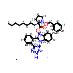 CCCCCCCC[C@@]1(C(=O)On2c(-c3ccccc3-c3nn[nH]n3)nc3ccccc32)CCCN1OCc1ccccc1